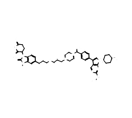 CCCCNc1ncc2c(-c3ccc(C(C)N4CCN(CCCOCCCc5ccc6c(c5)n(C)c(=O)n6C5CCC(=O)NC5=O)CC4)cc3)cn([C@H]3CC[C@H](O)CC3)c2n1